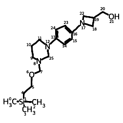 C[Si](C)(C)CCOCN1CCCN(c2ccc(N3CC(CO)C3)cc2)C1